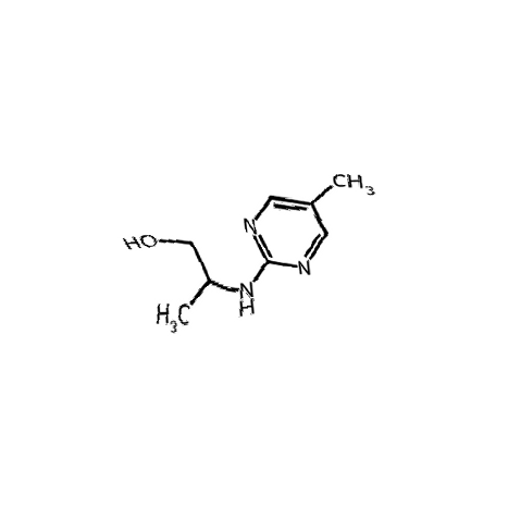 Cc1cnc(NC(C)CO)nc1